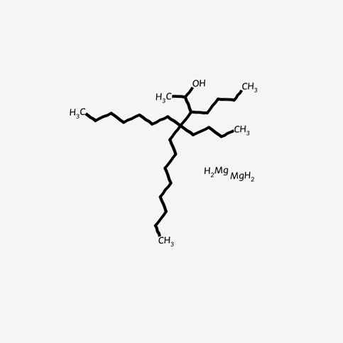 CCCCCCCCC(CCCC)(CCCCCCC)[C](CCCC)C(C)O.[MgH2].[MgH2]